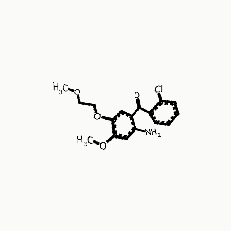 COCCOc1cc(C(=O)c2ccccc2Cl)c(N)cc1OC